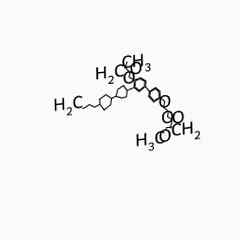 C=CCCC1CCC(C2CCC(c3cc(-c4ccc(OCCOC(=O)C(=C)COC)cc4)ccc3OC(=O)C(=C)C)CC2)CC1